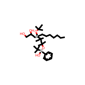 CCCCCCC[Si](CC(O)CO)(OC(C)(C)C)C(C)(C)C(C)(C)O[Si](O)(c1ccccc1)C(C)(C)C